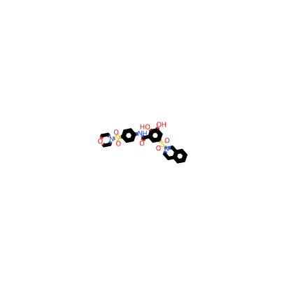 O=C(Nc1ccc(S(=O)(=O)N2CCOCC2)cc1)c1cc(S(=O)(=O)N2CCc3ccccc3C2)cc(O)c1O